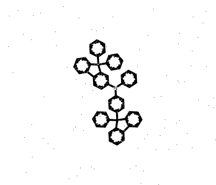 c1ccc(N(c2ccc(C3(c4ccccc4)c4ccccc4-c4ccccc43)cc2)c2ccc3c(c2)C(c2ccccc2)(c2ccccc2)c2ccccc2-3)cc1